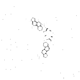 CC(=O)[C@H]1CC[C@H]2[C@@H]3CC[C@H]4C[C@H](C(OC(=O)OC(c5oc(=O)oc5C)[C@@H]5CC[C@@]6(C)[C@@H](CC[C@@H]7[C@@H]6CC[C@]6(C)[C@@H](C(C)=O)CC[C@@H]76)C5)c5oc(=O)oc5C)CC[C@]4(C)[C@H]3CC[C@]12C